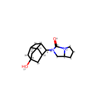 O=C1N2CCCC2CN1C1C2CC3CC1CC(O)(C3)C2